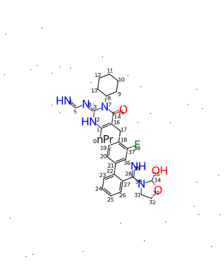 CCCc1[nH]/c(=N\C=N)n(C2CCCCC2)c(=O)c1Cc1ccc(-c2ccccc2C(=N)N2CCOC2O)cc1F